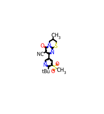 CC1CSc2nc(-c3cnc(C(C)(C)C)c(S(C)(=O)=O)c3)c(C#N)c(=O)n2C1